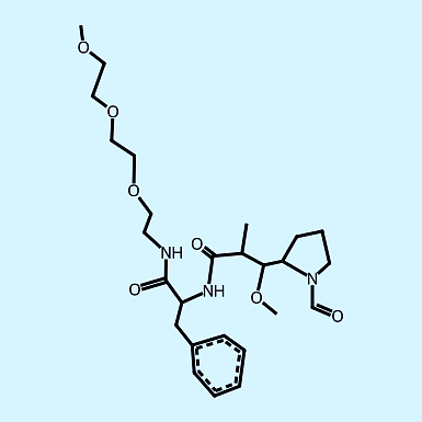 COCCOCCOCCNC(=O)C(Cc1ccccc1)NC(=O)C(C)C(OC)C1CCCN1C=O